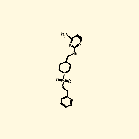 Nc1ccnc(NCC2CCN(S(=O)(=O)CCc3ccccc3)CC2)n1